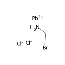 NCBr.[Cl-].[Cl-].[Pb+2]